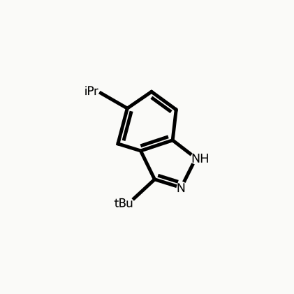 CC(C)c1ccc2[nH]nc(C(C)(C)C)c2c1